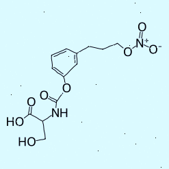 O=C(NC(CO)C(=O)O)Oc1cccc(CCCO[N+](=O)[O-])c1